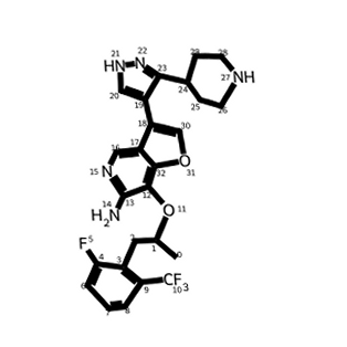 CC(Cc1c(F)cccc1C(F)(F)F)Oc1c(N)ncc2c(-c3c[nH]nc3C3CCNCC3)coc12